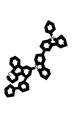 c1ccc(-c2cccc(-c3cc(-n4c5ccccc5c5cc(-c6ccc7c(c6)c6ccccc6n7-c6ccccc6)ccc54)cc4c5ccccc5c5ccccc5c34)c2)cc1